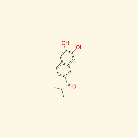 CC(C)C(=O)c1ccc2cc(O)c(O)cc2c1